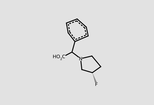 O=C(O)C(c1ccccc1)N1CC[C@H](F)C1